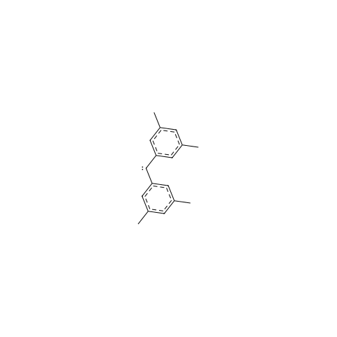 Cc1cc(C)cc([C]c2cc(C)cc(C)c2)c1